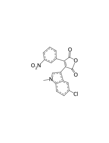 Cn1cc(C2=C(c3cccc([N+](=O)[O-])c3)C(=O)OC2=O)c2cc(Cl)ccc21